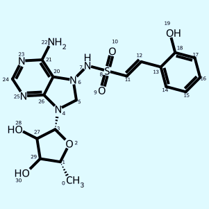 C[C@H]1O[C@@H](N2CN(NS(=O)(=O)/C=C/c3ccccc3O)c3c(N)ncnc32)C(O)C1O